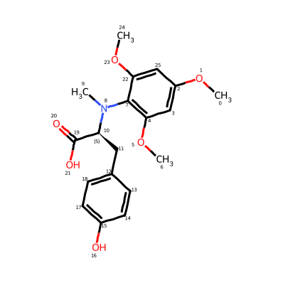 COc1cc(OC)c(N(C)[C@@H](Cc2ccc(O)cc2)C(=O)O)c(OC)c1